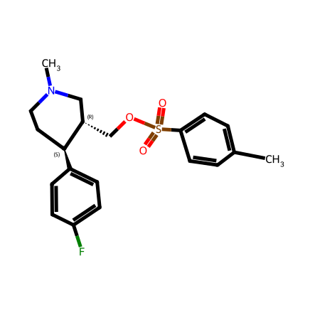 Cc1ccc(S(=O)(=O)OC[C@H]2CN(C)CC[C@@H]2c2ccc(F)cc2)cc1